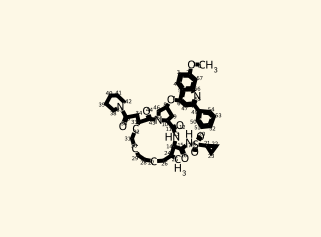 COc1ccc2c(OC3CC4C(=O)NC(C(=O)NS(=O)(=O)C5CC5)C(C)CCCCCCCC(CC(=O)N5CCCCC5)C(=O)N4C3)cc(-c3ccccc3)nc2c1